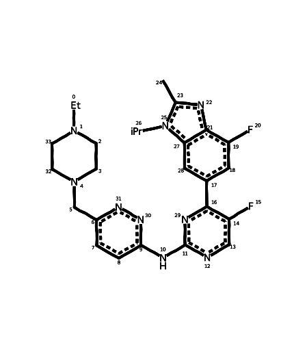 CCN1CCN(Cc2ccc(Nc3ncc(F)c(-c4cc(F)c5nc(C)n(C(C)C)c5c4)n3)nn2)CC1